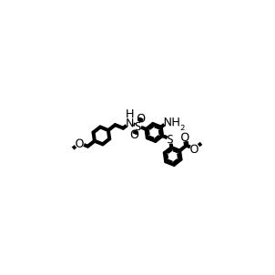 COCC1CCC(CCNS(=O)(=O)c2ccc(Sc3ccccc3C(=O)OC)c(N)c2)CC1